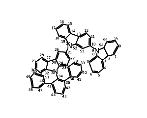 C1=CC2c3ccccc3N(c3ccc4c5ccccc5n(-c5ccc6c(c5)c5ccccc5n6-c5c(-c6ccccc6)cccc5-c5ccccc5)c4c3)C2C=C1